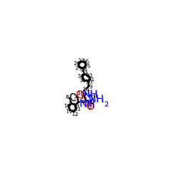 NC(=O)C(NC1CCCc2ccccc21)C(=O)NCCc1ccc(-c2ccccc2)cc1